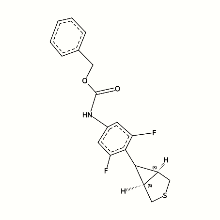 O=C(Nc1cc(F)c(C2[C@H]3CSC[C@@H]23)c(F)c1)OCc1ccccc1